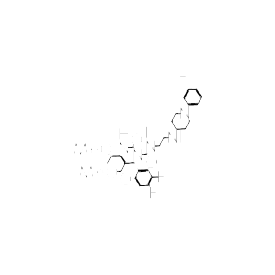 COC(=O)C1=C(C(C)OC)NC(=O)N(C(=O)NCCNC2CCN(c3cccc(F)c3)CC2)[C@H]1c1ccc(F)c(F)c1